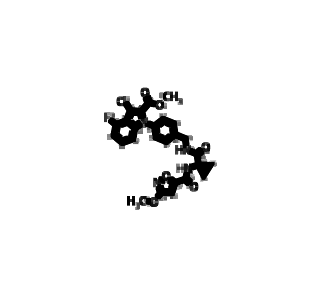 COC(=O)c1c(Cl)c2c(F)cccc2n1-c1ccc(CNC(=O)C2(NC(=O)c3cc(OC)no3)CC2)cc1